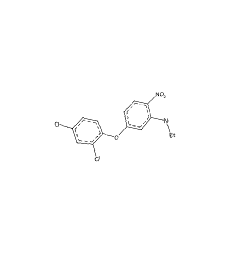 CC[N]c1cc(Oc2ccc(Cl)cc2Cl)ccc1[N+](=O)[O-]